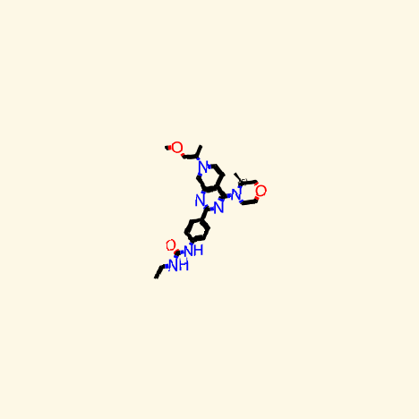 CCNC(=O)Nc1ccc(-c2nc3c(c(N4CCOC[C@@H]4C)n2)CCN(C(C)COC)C3)cc1